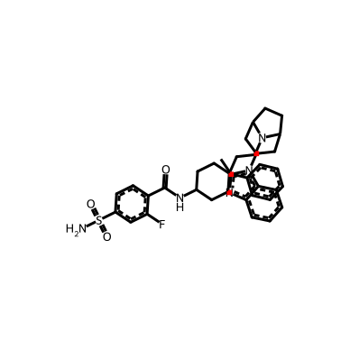 Cc1nc2ccccc2n1C1CC2CCC(C1)N2CCC1(c2ccccc2)CCC(NC(=O)c2ccc(S(N)(=O)=O)cc2F)CC1